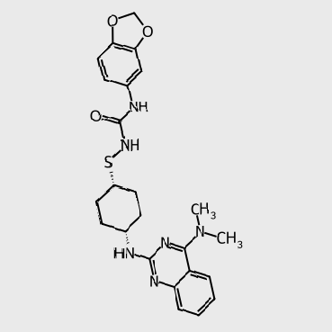 CN(C)c1nc(N[C@H]2CC[C@@H](SNC(=O)Nc3ccc4c(c3)OCO4)CC2)nc2ccccc12